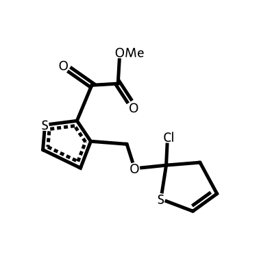 COC(=O)C(=O)c1sccc1COC1(Cl)CC=CS1